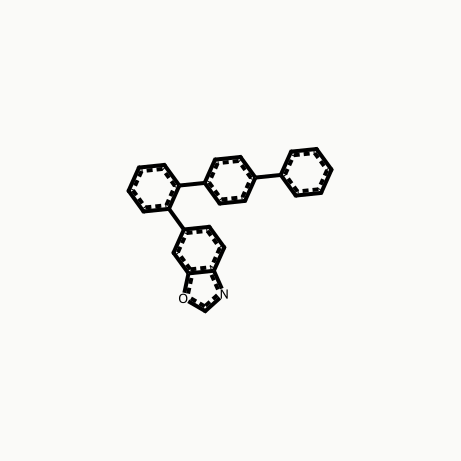 c1ccc(-c2ccc(-c3ccccc3-c3ccc4ncoc4c3)cc2)cc1